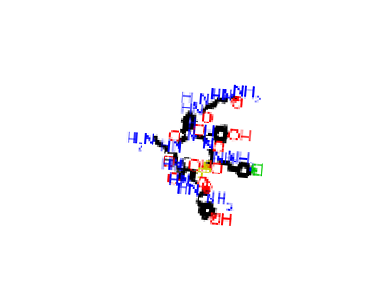 C[C@]1(O)C2SSC[C@@H](NC(=O)[C@@H](N)Cc3ccc(Cl)cc3)C(=O)N[C@@H](Cc3ccc(O)cc3)C(=O)N[C@H](Cc3ccc(NC(=O)[C@@H](N)CCCNC(N)=O)cc3)C(=O)N[C@@H](CCCCN)C(=O)N[C@@H]1C(=O)N[C@@H]2C(=O)N[C@H](Cc1ccc(O)cc1)C(N)=O